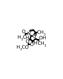 COC1O[C@H]2[C@@H](O1)[C@H](N(/C=C\C(C)=O)C(C)=O)O[C@@H]2[C@@H](C)O